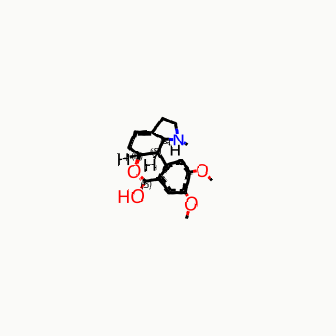 COc1cc2c(cc1OC)[C@@H](O)O[C@@H]1CC=C3CCN(C)[C@H]3[C@H]21